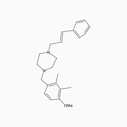 COc1ccc(CN2CCN(CC=Cc3ccccc3)CC2)c(C)c1C